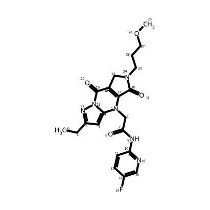 CCc1cc2n(CC(=O)Nc3ccc(F)cn3)c3c(c(=O)n2n1)CN(CCCOC)C3=O